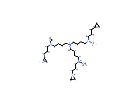 CN(CCCCN(CCCCN(C)CCCC1CN1)CCCCN(C)CCCN1CC1)CCCC1CC1